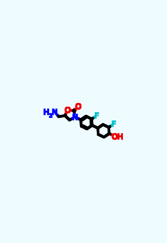 NCC1CN(c2ccc(C3CCC(O)C(F)C3)c(F)c2)C(=O)O1